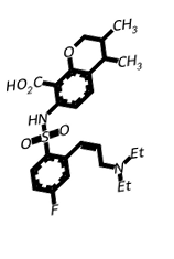 CCN(CC)C/C=C\c1cc(F)ccc1S(=O)(=O)Nc1ccc2c(c1C(=O)O)OCC(C)C2C